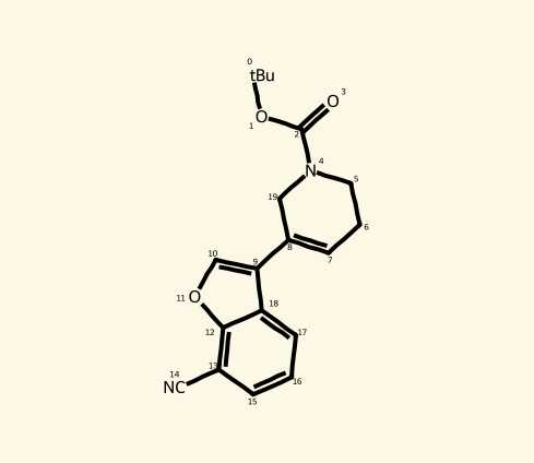 CC(C)(C)OC(=O)N1CCC=C(c2coc3c(C#N)cccc23)C1